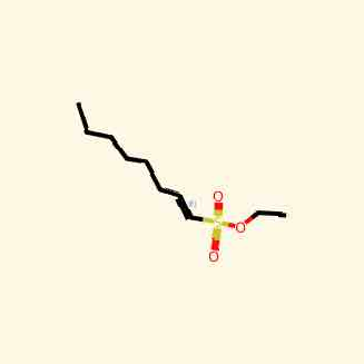 CCCCCC/C=C/S(=O)(=O)OCC